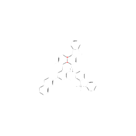 Cc1ccccc1-c1cc(-c2ccc3ccccc3c2)cc(C)c1N(c1ccc2c(c1)C(C)(C)c1ccccc1-2)c1ccc2c(c1)oc1ccccc12